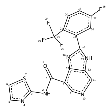 O=C(Nc1nccs1)c1cncc2[nH]c(-c3cc(F)ccc3C(F)(F)F)nc12